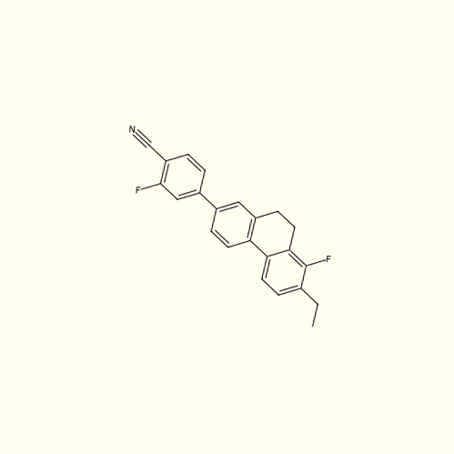 CCc1ccc2c(c1F)CCc1cc(-c3ccc(C#N)c(F)c3)ccc1-2